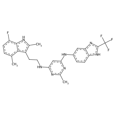 Cc1nc(NCCc2c(C)[nH]c3c(F)ccc(C)c23)cc(Nc2ccc3[nH]c(C(F)(F)F)nc3c2)n1